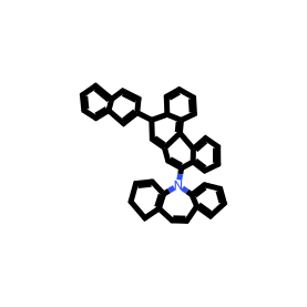 C1=CC2=c3c(cc(N4C5=C(C=Cc6ccccc64)CCC=C5)c4ccccc34)=CC(c3ccc4ccccc4c3)C2C=C1